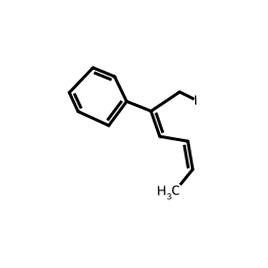 C/C=C\C=C(/CI)c1ccccc1